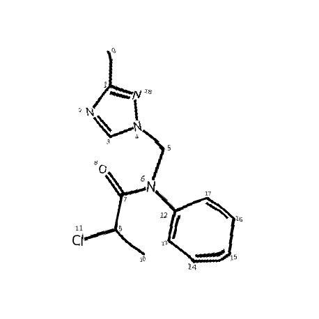 Cc1ncn(CN(C(=O)C(C)Cl)c2ccccc2)n1